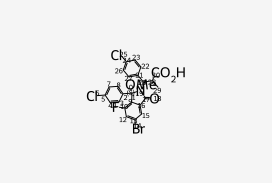 CO[C@@]1(c2ccc(Cl)cc2)c2c(F)cc(Br)cc2C(=O)N1C(c1ccc(Cl)cc1)C(C)C(=O)O